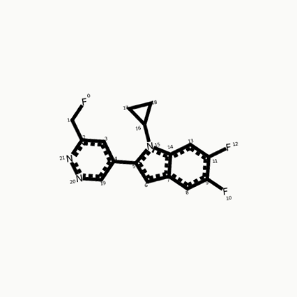 FCc1cc(-c2cc3cc(F)c(F)cc3n2C2CC2)cnn1